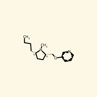 CCCC[C@H]1CC[C@@H](COc2cccnc2)N1C